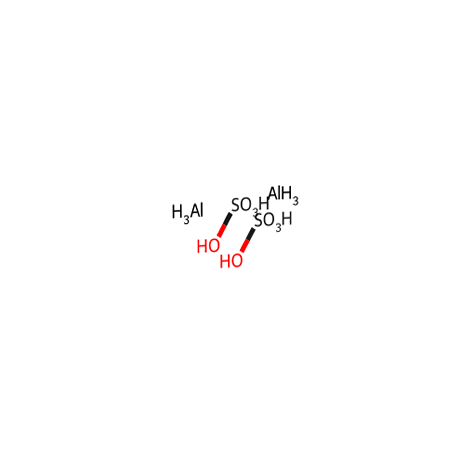 O=S(=O)(O)O.O=S(=O)(O)O.[AlH3].[AlH3]